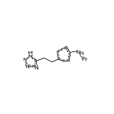 CC(C)Nc1ccc(CCc2nnn[nH]2)cc1